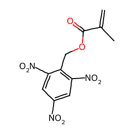 C=C(C)C(=O)OCc1c([N+](=O)[O-])cc([N+](=O)[O-])cc1[N+](=O)[O-]